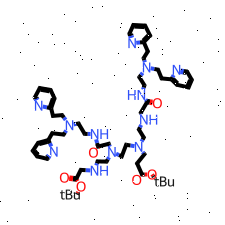 CC(C)(C)OC(=O)CCN(CCNCC(=O)NCCN(CCc1ccccn1)CCc1ccccn1)CCN(CCNCC(=O)OC(C)(C)C)CC(=O)NCCN(CCc1ccccn1)CCc1ccccn1